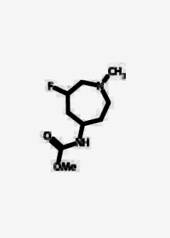 COC(=O)NC1CCN(C)CC(F)C1